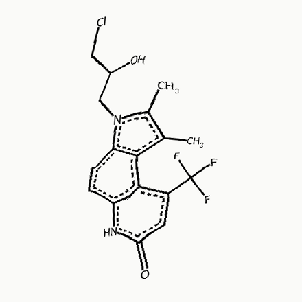 Cc1c(C)n(CC(O)CCl)c2ccc3[nH]c(=O)cc(C(F)(F)F)c3c12